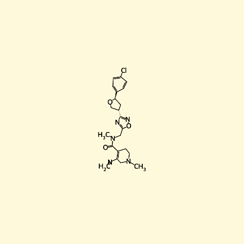 C=NC1=C(C(=O)N(C)Cc2nc([C@@H]3CO[C@@H](c4ccc(Cl)cc4)C3)no2)CCN(C)C1